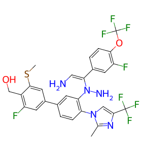 CSc1cc(-c2ccc(-n3cc(C(F)(F)F)nc3C)c(N(N)/C(=C\N)c3ccc(OC(F)(F)F)c(F)c3)c2)cc(F)c1CO